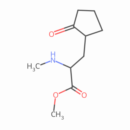 CNC(CC1CCCC1=O)C(=O)OC